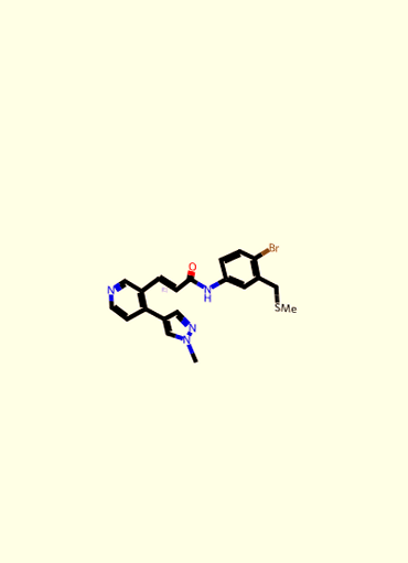 CSCc1cc(NC(=O)/C=C/c2cnccc2-c2cnn(C)c2)ccc1Br